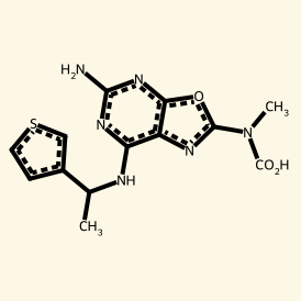 CC(Nc1nc(N)nc2oc(N(C)C(=O)O)nc12)c1ccsc1